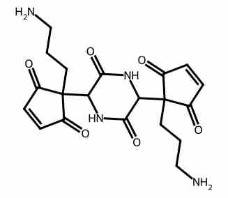 NCCCC1(C2NC(=O)C(C3(CCCN)C(=O)C=CC3=O)NC2=O)C(=O)C=CC1=O